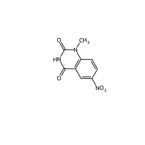 Cn1c(=O)[nH]c(=O)c2cc([N+](=O)[O-])ccc21